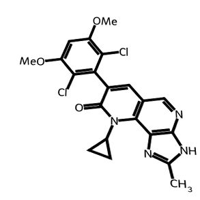 COc1cc(OC)c(Cl)c(-c2cc3cnc4[nH]c(C)nc4c3n(C3CC3)c2=O)c1Cl